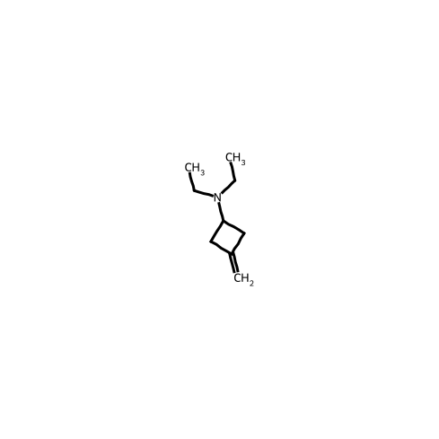 C=C1CC(N(CC)CC)C1